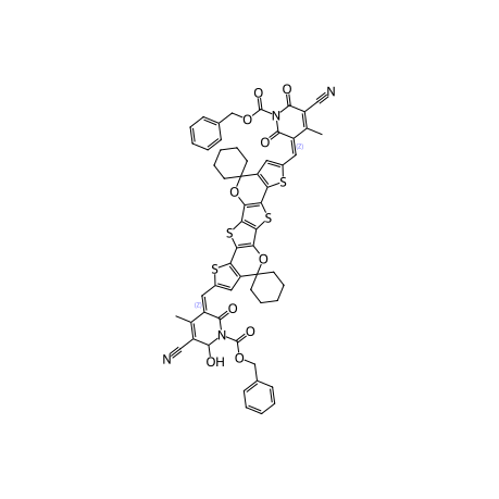 CC1=C(C#N)C(=O)N(C(=O)OCc2ccccc2)C(=O)/C1=C\c1cc2c(s1)-c1sc3c4c(sc3c1OC21CCCCC1)-c1sc(/C=C2\C(=O)N(C(=O)OCc3ccccc3)C(O)C(C#N)=C2C)cc1C1(CCCCC1)O4